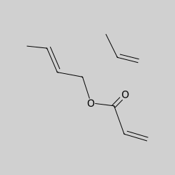 C=CC.C=CC(=O)OCC=CC